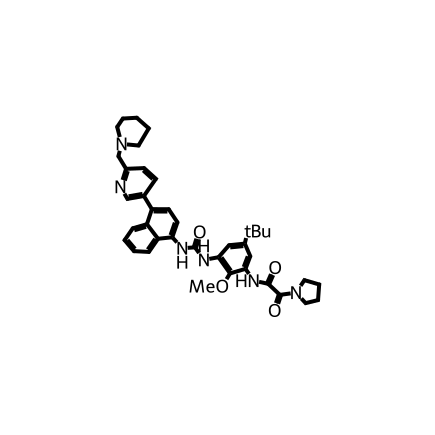 COc1c(NC(=O)Nc2ccc(-c3ccc(CN4CCCCC4)nc3)c3ccccc23)cc(C(C)(C)C)cc1NC(=O)C(=O)N1CCCC1